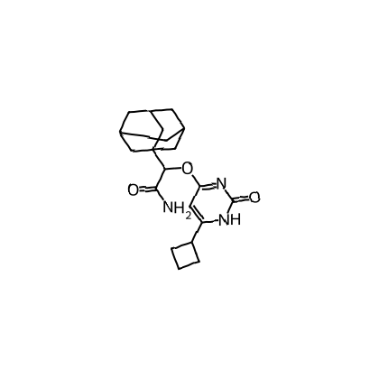 NC(=O)C(Oc1cc(C2CCC2)[nH]c(=O)n1)C12CC3CC(CC(C3)C1)C2